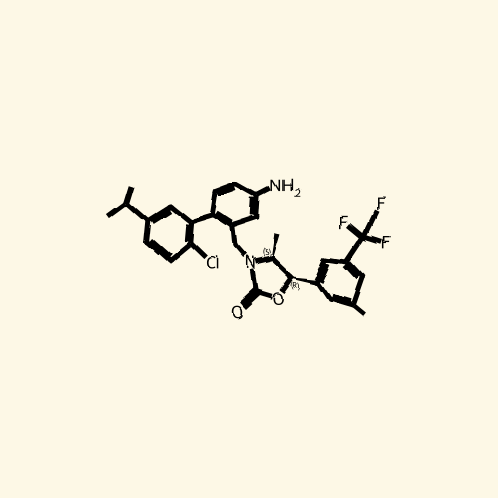 Cc1cc([C@H]2OC(=O)N(Cc3cc(N)ccc3-c3cc(C(C)C)ccc3Cl)[C@H]2C)cc(C(F)(F)F)c1